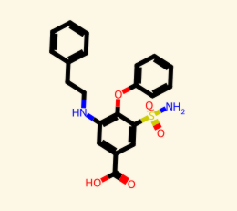 NS(=O)(=O)c1cc(C(=O)O)cc(NCCc2ccccc2)c1Oc1ccccc1